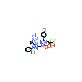 NC1(c2nc(Cn3nc(-c4ccc(Cl)cc4)n(C[C@H](O)C(F)(F)F)c3=O)nn2-c2ccccc2Cl)CC1